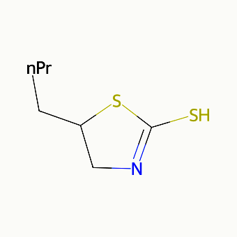 CCCCC1CN=C(S)S1